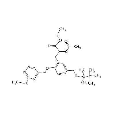 CCOC(=O)C(Cc1cc(CO[Si](C)(C)C(C)(C)C)ccc1OCc1ccnc(SC)n1)OC(C)=O